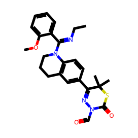 CCN=C(c1ccccc1OC)N1CCCc2cc(C3=NN(C=O)C(=O)SC3(C)C)ccc21